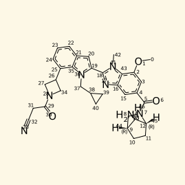 COc1cc(C(=O)N2C[C@H]3CC[C@@H]2[C@@H]3N)cc2nc(-c3cc4cccc(C5CN(C(=O)CC#N)C5)c4n3CC3CC3)n(C)c12